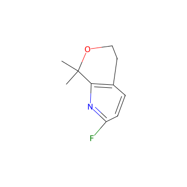 CC1(C)OCCc2ccc(F)nc21